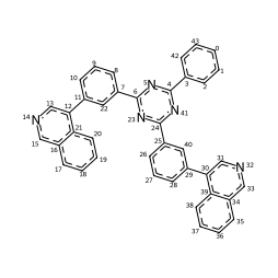 c1ccc(-c2nc(-c3cccc(-c4cncc5ccccc45)c3)nc(-c3cccc(-c4cncc5ccccc45)c3)n2)cc1